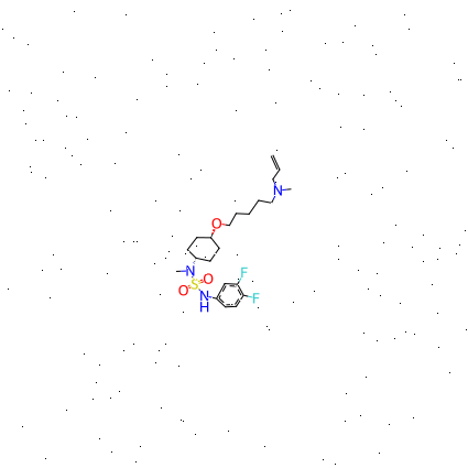 C=CCN(C)CCCCCO[C@H]1CC[C@H](N(C)S(=O)(=O)Nc2ccc(F)c(F)c2)CC1